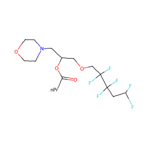 CCCC(=O)OC(COCC(F)(F)C(F)(F)CC(F)F)CN1CCOCC1